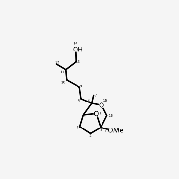 COC12CCC(O1)C(C)(CCCC(C)CO)OC2